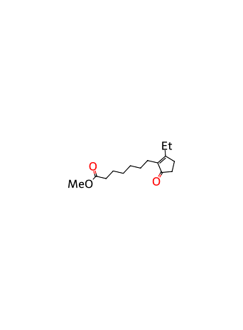 CCC1=C(CCCCCCC(=O)OC)C(=O)CC1